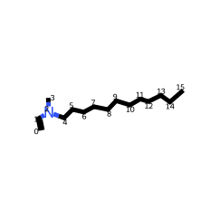 C=CN(C)CCCCCCCCCCCC